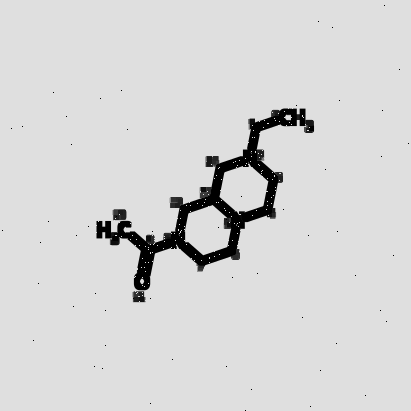 CCN1CCN2CCN(C(C)=O)CC2C1